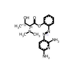 C[C@H](O)[C@H](C(=O)Oc1ccccc1/N=N/c1ccc(N)nc1N)N(C)C